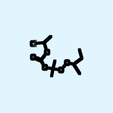 CCC(C)OOC(C)(C)OC(=O)OC(C)Cl